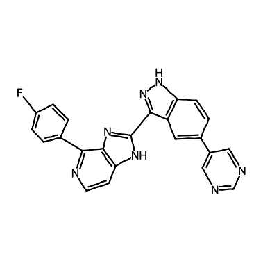 Fc1ccc(-c2nccc3[nH]c(-c4n[nH]c5ccc(-c6cncnc6)cc45)nc23)cc1